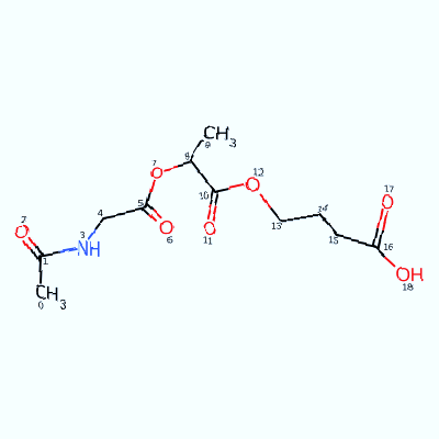 CC(=O)NCC(=O)OC(C)C(=O)OCCCC(=O)O